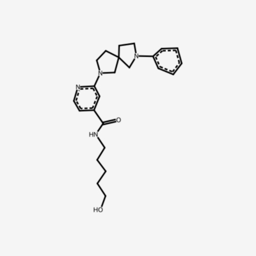 O=C(NCCCCCO)c1ccnc(N2CCC3(CCN(c4ccccc4)C3)C2)c1